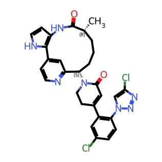 C[C@@H]1CCC[C@H](N2CCC(c3cc(Cl)ccc3-n3cc(Cl)nn3)=CC2=O)c2cc(ccn2)-c2[nH]ccc2NC1=O